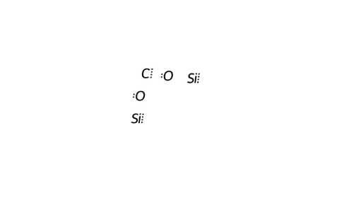 [C].[O].[O].[Si].[Si]